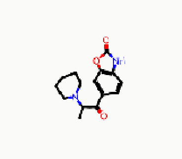 CC(C(=O)c1ccc2[nH]c(=O)oc2c1)N1CCCCC1